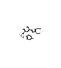 Cc1ccc(-n2nnnc2-c2cc(-c3cc4c(s3)CCNCC4)cnc2N)c(F)c1